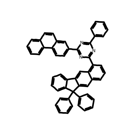 c1ccc(-c2nc(-c3ccc4c(ccc5ccccc54)c3)nc(-c3cccc4cc5c(cc34)-c3ccccc3C5(c3ccccc3)c3ccccc3)n2)cc1